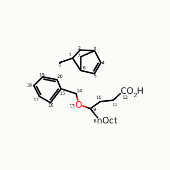 CC1CC2C=CC1C2.CCCCCCCCC(CCC(=O)O)OCc1ccccc1